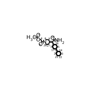 CC(=O)OCC(=O)N1CCC(C(C(N)=O)c2ccc(-c3ccccc3)cc2)CC1